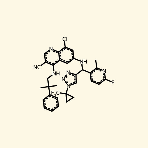 Cc1nc(F)ccc1C(Nc1cc(Cl)c2ncc(C#N)c(NCC(C)(C)c3ccccc3)c2c1)c1cn(C2(C(F)(F)F)CC2)nn1